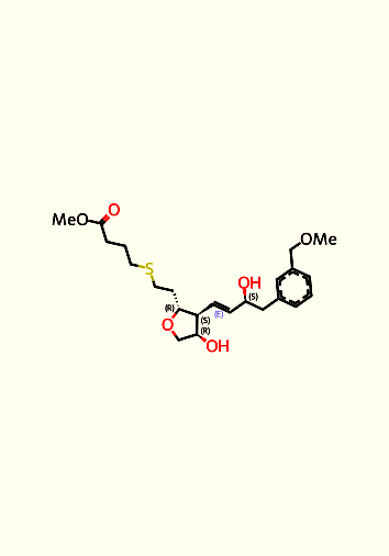 COCc1cccc(C[C@H](O)/C=C/[C@H]2[C@@H](O)CO[C@@H]2CCSCCCC(=O)OC)c1